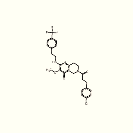 COn1c(NCCc2ccc(C(F)(F)F)cc2)nc2c(c1=O)CN(C(=O)CCc1ccc(Cl)cc1)CC2